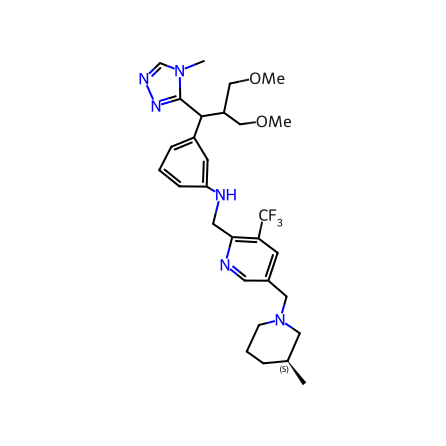 COCC(COC)C(c1cccc(NCc2ncc(CN3CCC[C@H](C)C3)cc2C(F)(F)F)c1)c1nncn1C